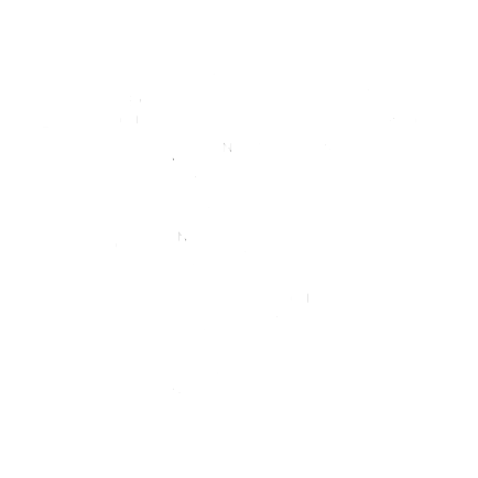 COc1ccc(N(Cc2nc(C)c(C)n2Cc2ccccc2OCC(=O)O)C(=O)CCC(C)C)c(Cl)c1OC